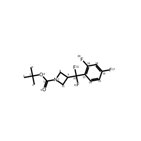 CC(C)(C)OC(=O)N1CC(C(F)(F)c2ccc(F)cc2F)C1